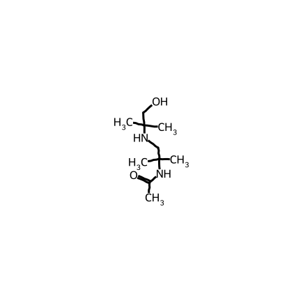 CC(=O)NC(C)(C)CNC(C)(C)CO